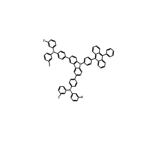 Fc1cccc(N(c2ccc(-c3ccc4c(c3)c3cc(-c5ccc(N(c6cccc(F)c6)c6cccc(F)c6)cc5)ccc3n4-c3ccc(-c4c5ccccc5c(-c5ccccc5)c5ccccc45)cc3)cc2)c2cccc(F)c2)c1